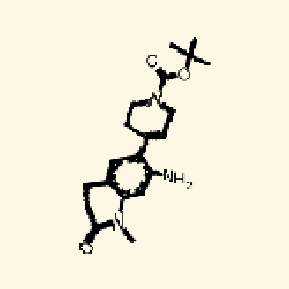 CN1C(=O)CCc2cc(C3=CCN(C(=O)OC(C)(C)C)CC3)c(N)cc21